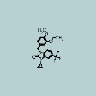 CCOc1cc(Cn2c(=O)n(C3CC3)c3cc(C(F)(F)F)ccc32)ccc1OC